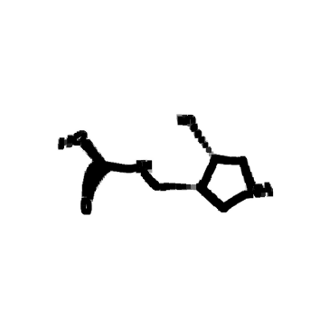 O=C(O)NC[C@H]1CNC[C@H]1O